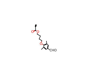 C#CC(=O)OCCCCOc1c(C)cc(C=O)cc1C